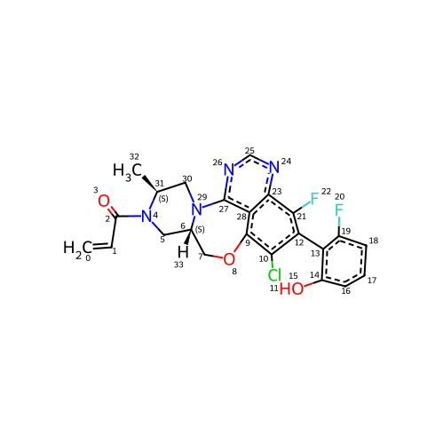 C=CC(=O)N1C[C@H]2COc3c(Cl)c(-c4c(O)cccc4F)c(F)c4ncnc(c34)N2C[C@@H]1C